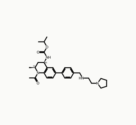 CC(=O)N1c2ccc(-c3ccc(CNCCN4CCCC4)cc3)cc2[C@H](NC(=O)OC(C)C)C[C@@H]1C